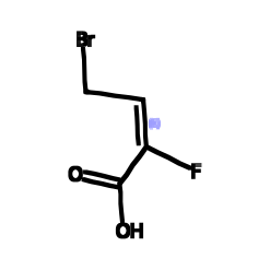 O=C(O)/C(F)=C\CBr